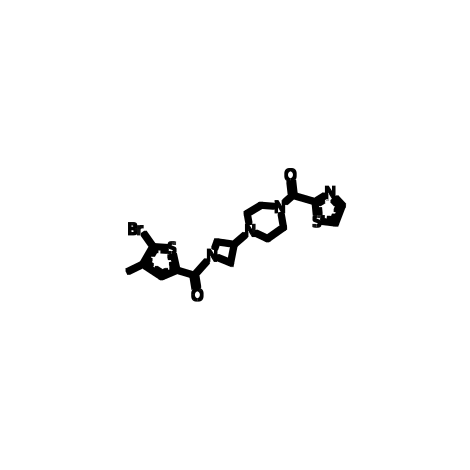 Cc1cc(C(=O)N2CC(N3CCN(C(=O)c4nccs4)CC3)C2)sc1Br